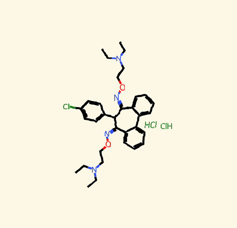 CCN(CC)CCON=C1c2ccccc2-c2ccccc2C(=NOCCN(CC)CC)C1c1ccc(Cl)cc1.Cl.Cl